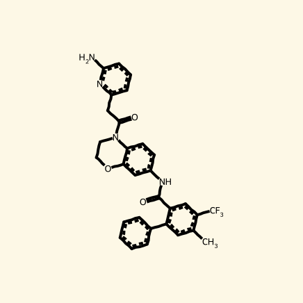 Cc1cc(-c2ccccc2)c(C(=O)Nc2ccc3c(c2)OCCN3C(=O)Cc2cccc(N)n2)cc1C(F)(F)F